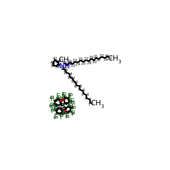 CCCCCCCCCCCCCCCCCC[NH+](CCCCCCCCCCCCCCCCCC)c1ccccc1C.Fc1c(F)c(F)c([B-](c2c(F)c(F)c(F)c(F)c2F)(c2c(F)c(F)c(F)c(F)c2F)c2c(F)c(F)c(F)c(F)c2F)c(F)c1F